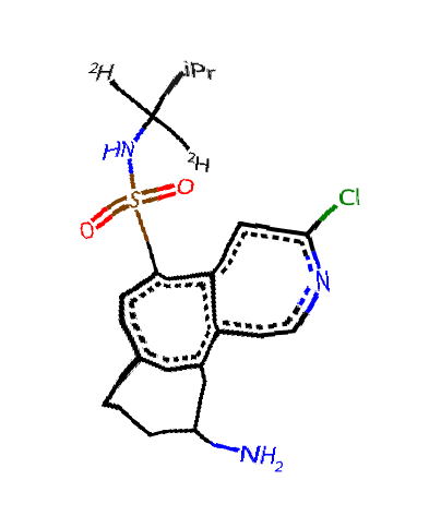 [2H]C([2H])(NS(=O)(=O)c1cc2c(c3cnc(Cl)cc13)C(N)CC2)C(C)C